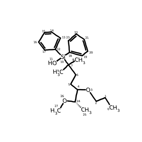 CCCOC(CCC(C)(C)[Si](O)(c1ccccc1)c1ccccc1)[C@H](C)OC